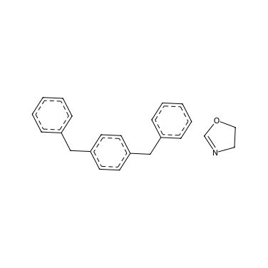 C1=NCCO1.c1ccc(Cc2ccc(Cc3ccccc3)cc2)cc1